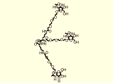 CC(=O)NC1[C@H](OCCOCCOCCOCC(=O)NCCCC[C@H](NC(=O)[C@H](CCCCNC(=O)COCCOCCOCCO[C@@H]2O[C@H](CO)[C@H](O)[C@H](O)[C@H]2NC(C)=O)NC(=O)COCCOCCOCCO[C@@H]2O[C@H](CO)[C@H](O)[C@H](O)C2NC(C)=O)C(=O)O)O[C@H](CO)[C@H](O)[C@@H]1O